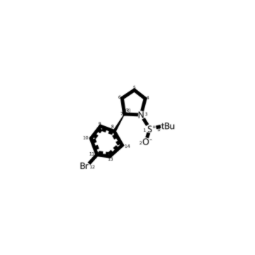 CC(C)(C)[S+]([O-])N1CCC[C@@H]1c1ccc(Br)cc1